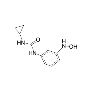 O=C(Nc1cccc(NO)c1)NC1CC1